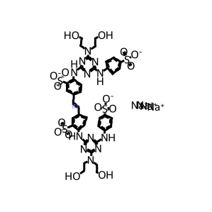 O=S(=O)([O-])c1ccc(Nc2nc(Nc3ccc(/C=C/c4ccc(Nc5nc(Nc6ccc(S(=O)(=O)[O-])cc6)nc(N(CCO)CCO)n5)c(S(=O)(=O)[O-])c4)cc3S(=O)(=O)[O-])nc(N(CCO)CCO)n2)cc1.[Na+].[Na+].[Na+].[Na+]